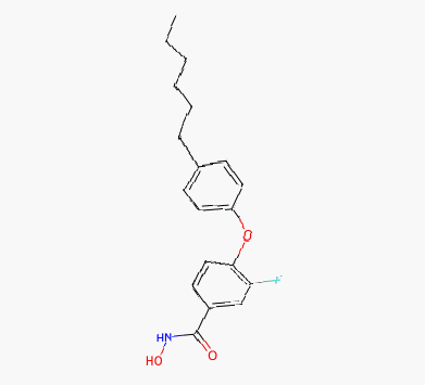 CCCCCCc1ccc(Oc2ccc(C(=O)NO)cc2F)cc1